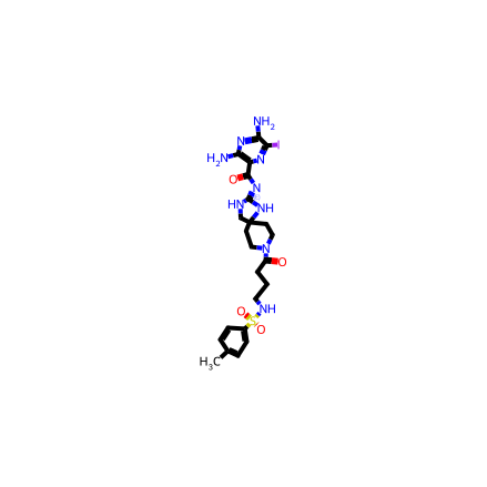 Cc1ccc(S(=O)(=O)NCCCC(=O)N2CCC3(CC2)CN/C(=N\C(=O)c2nc(I)c(N)nc2N)N3)cc1